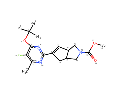 [2H]C([2H])([2H])Oc1nc(C2=CC3CN(C(=O)OC(C)(C)C)CC3C2)nc(C)c1F